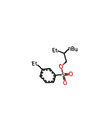 CCCCC(CC)COS(=O)(=O)c1cccc(CC)c1